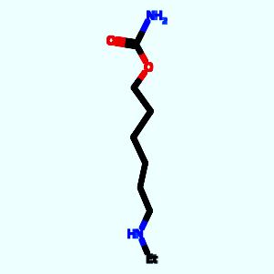 CCNCCCCCCOC(N)=O